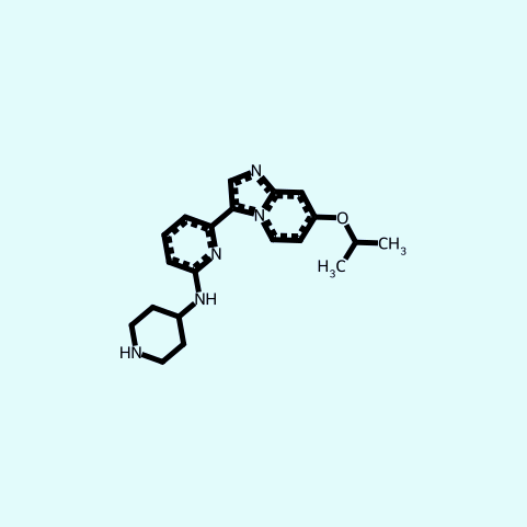 CC(C)Oc1ccn2c(-c3cccc(NC4CCNCC4)n3)cnc2c1